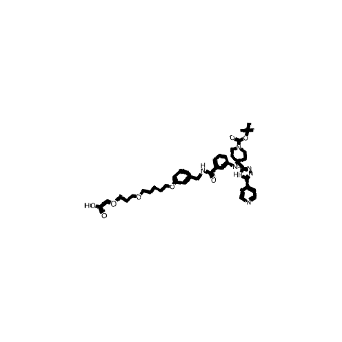 CC(C)(C)OC(=O)N1CCC(Nc2cccc(C(=O)NCc3cccc(OCCCCCOCCCOCC(=O)O)c3)c2)(c2nnc(-c3ccncc3)[nH]2)CC1